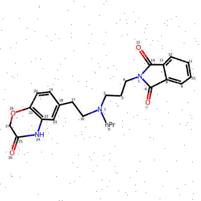 CCCN(CCCN1C(=O)c2ccccc2C1=O)CCc1ccc2c(c1)NC(=O)CO2